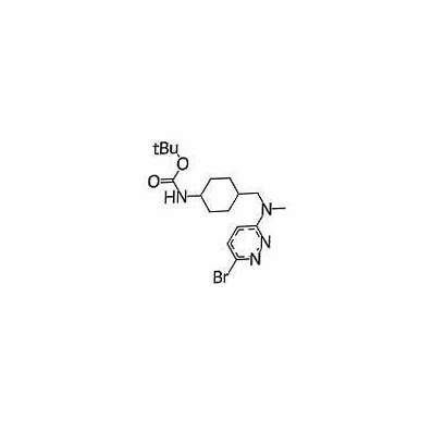 CN(CC1CCC(NC(=O)OC(C)(C)C)CC1)c1ccc(Br)nn1